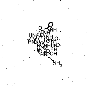 CC(C)C[C@H](NC(=O)CNC(=O)[C@H](Cc1c[nH]c2ccccc12)NC(=O)C(CCC(N)=O)NC(=O)CNC(=O)[C@@H]1CCCN1)C(=O)N[C@@H](C)C(=O)NCC(=O)N1CCC[C@H]1C(=O)N[C@@H](CCCCN)C(=O)O